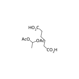 CC(=O)OC(C)OC(C)=O.O=C(O)CCCCC(=O)O